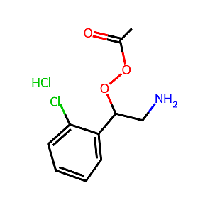 CC(=O)OOC(CN)c1ccccc1Cl.Cl